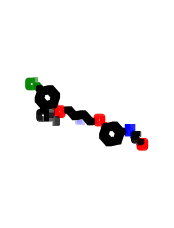 Cc1cc(Cl)ccc1OC/C=C/COc1cccc(N=C=O)c1